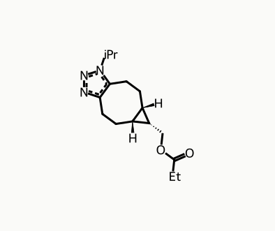 CCC(=O)OC[C@@H]1[C@@H]2CCc3nnn(C(C)C)c3CC[C@@H]21